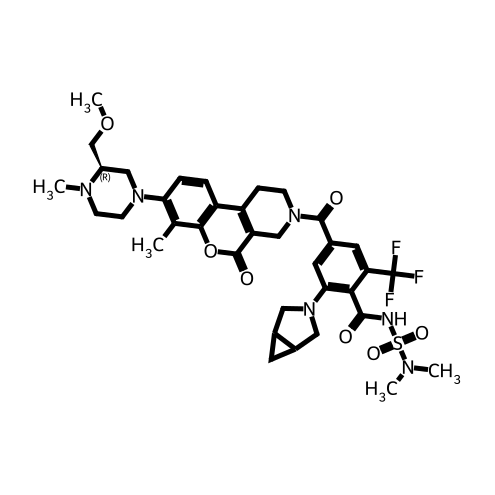 COC[C@H]1CN(c2ccc3c4c(c(=O)oc3c2C)CN(C(=O)c2cc(N3CC5CC5C3)c(C(=O)NS(=O)(=O)N(C)C)c(C(F)(F)F)c2)CC4)CCN1C